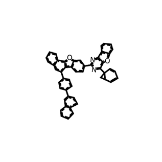 C1=CC2CC2(c2nc(-c3ccc4c(c3)oc3c5ccccc5cc(-c5ccc(-c6ccc7ccccc7c6)cc5)c43)nc3c2oc2ccccc23)C=C1